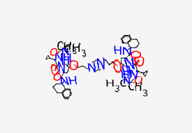 CN[C@@H](C)C(=O)N[C@H](C(=O)N1C[C@@H](OCCCN2CCN(CCCO[C@H]3C[C@@H](C(=O)N[C@@H]4CCCc5ccccc54)N(C(=O)[C@@H](NC(=O)[C@H](C)NC)C4CC4)C3)CC2)C[C@H]1C(=O)N[C@@H]1CCCc2ccccc21)C1CC1